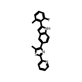 Cc1cccc(F)c1-c1cc2cc(-c3nc(-c4ccccn4)sc3C)ccc2[nH]1